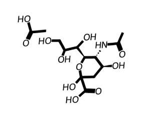 CC(=O)N[C@@H]1[C@@H](O)CC(O)(C(=O)O)O[C@H]1C(O)C(O)CO.CC(=O)O